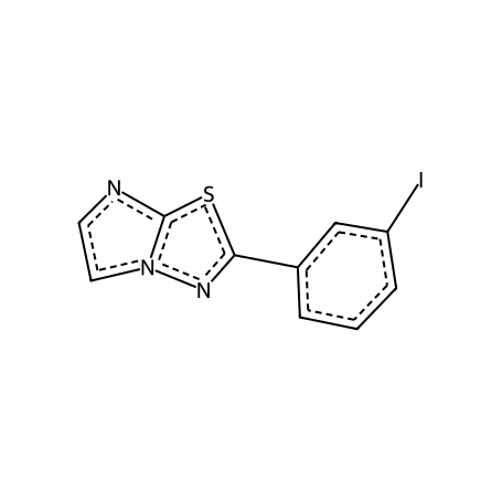 Ic1cccc(-c2nn3ccnc3s2)c1